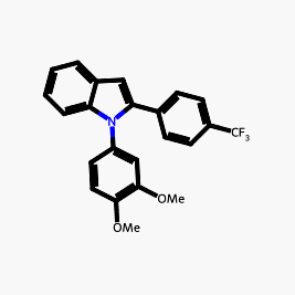 COc1ccc(-n2c(-c3ccc(C(F)(F)F)cc3)cc3ccccc32)cc1OC